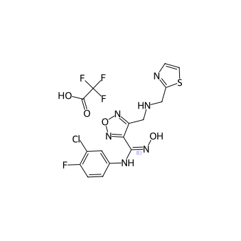 O/N=C(/Nc1ccc(F)c(Cl)c1)c1nonc1CNCc1nccs1.O=C(O)C(F)(F)F